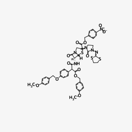 COc1ccc(COC(=O)C(C(=O)N[C@@H]2C(=O)N3C[C@@](C(=O)OCc4ccc([N+](=O)[O-])cc4)(N4CCN(N=C5SCCS5)C4=O)S[C@H]23)c2ccc(OCc3ccc(OC)cc3)cc2)cc1